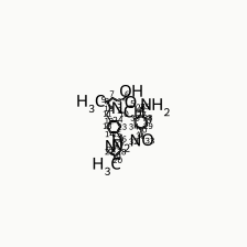 CCn1c(C(=O)O)cc(C)c1Cc1ccc(Cn2cc(C)cn2)cc1.NCc1ccc(C(N)=O)cc1